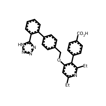 CCc1cc(OCc2ccc(-c3ccccc3-c3nnn[nH]3)cc2)c(-c2ccc(C(=O)O)cc2)c(CC)n1